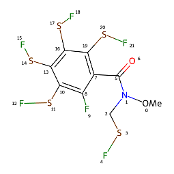 CON(CSF)C(=O)c1c(F)c(SF)c(SF)c(SF)c1SF